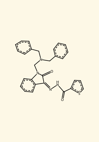 O=C(NN=C1C(=O)N(CN(Cc2ccccc2)Cc2ccccc2)c2ccccc21)c1cccs1